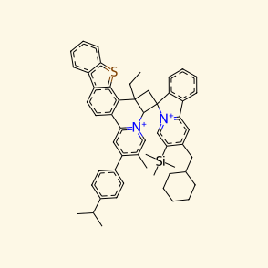 CCC12CC3(c4ccccc4-c4cc(CC5CCCCC5)c([Si](C)(C)C)c[n+]43)C1[n+]1cc(C)c(-c3ccc(C(C)C)cc3)cc1-c1ccc3c(sc4ccccc43)c12